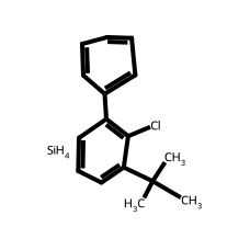 CC(C)(C)c1cccc(-c2ccccc2)c1Cl.[SiH4]